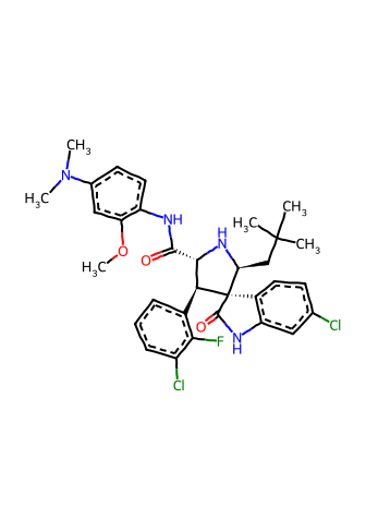 COc1cc(N(C)C)ccc1NC(=O)[C@@H]1N[C@@H](CC(C)(C)C)[C@@]2(C(=O)Nc3cc(Cl)ccc32)[C@H]1c1cccc(Cl)c1F